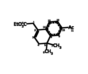 CCOC(=O)CC1=CCC(C)(C)c2cc(C(C)=O)ccc21